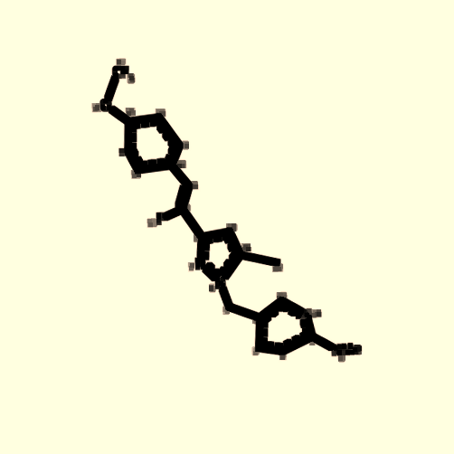 CNc1ccc(Cn2nc(C(F)=Cc3ccc(OC(F)(F)F)cc3)cc2C)cn1